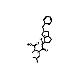 CC(C)C[C@@H](C(=O)NC1CCC2CN(Cc3ccccc3)C[C@@H]21)N(C)C(=O)O